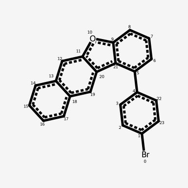 Brc1ccc(-c2cccc3oc4cc5ccccc5cc4c23)cc1